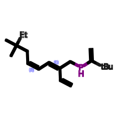 C=C/C(=C\C=C/CC(C)(C)CC)CPC(=C)C(C)(C)C